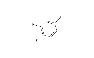 Fc1[c]cc(F)c(I)c1